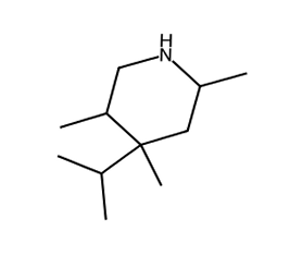 CC1CC(C)(C(C)C)C(C)CN1